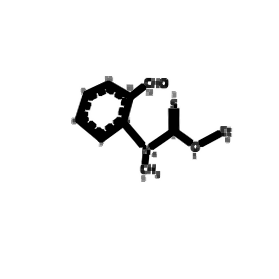 CCOC(=S)N(C)c1ccccc1C=O